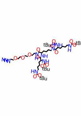 CC(C)(C)OC(=O)NCCCCC(NC(=O)OC(C)(C)C)C(=O)NCCCCC(NC(=O)C(CCCCNC(=O)OC(C)(C)C)NC(=O)OC(C)(C)C)C(=O)NCCOCCOCCOCCN=[N+]=[N-]